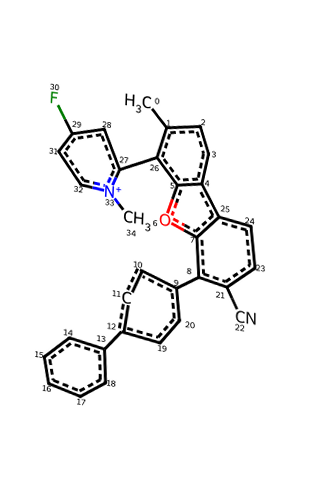 Cc1ccc2c(oc3c(-c4ccc(-c5ccccc5)cc4)c(C#N)ccc32)c1-c1cc(F)cc[n+]1C